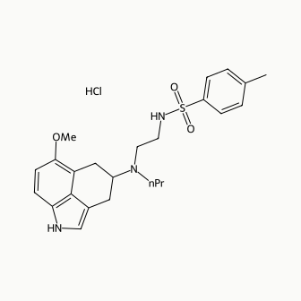 CCCN(CCNS(=O)(=O)c1ccc(C)cc1)C1Cc2c[nH]c3ccc(OC)c(c23)C1.Cl